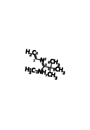 C=C/N=C(\NC)C(C)(C)C